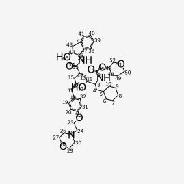 O=C(NC(CC1CCCCC1)C(O)CC(C/C=C/c1ccc(OCCN2CCOCC2)cc1)C(=O)N[C@H]1c2ccccc2C[C@@H]1O)OC1CCCOC1